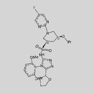 COc1cccc(OC)c1-n1c(NS(=O)(=O)[C@@H]2C[C@H](OC(C)C)CN(c3ncc(F)cn3)C2)nnc1C1CCCO1